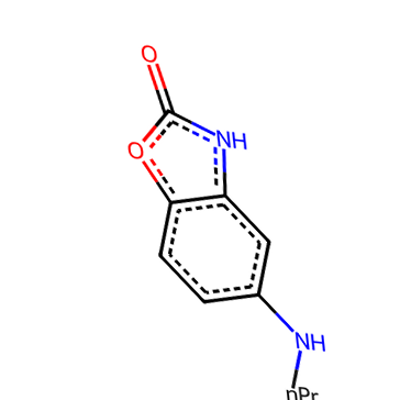 CCCNc1ccc2oc(=O)[nH]c2c1